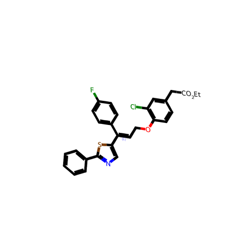 CCOC(=O)Cc1ccc(OC/C=C(\c2ccc(F)cc2)c2cnc(-c3ccccc3)s2)c(Cl)c1